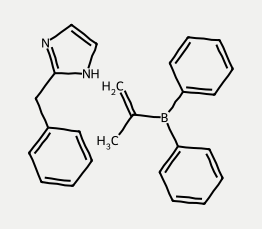 C=C(C)B(c1ccccc1)c1ccccc1.c1ccc(Cc2ncc[nH]2)cc1